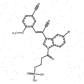 COc1ccc(C#N)cc1C=C(C#N)c1cn(C(=O)CCOP(=O)(O)O)c2ccc(Br)cc12